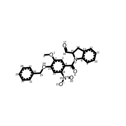 COc1cc(C(=O)N2c3ccccc3CC2C=O)c([N+](=O)[O-])cc1OCc1ccccc1